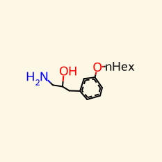 CCCCCCOc1cccc(CC(O)CN)c1